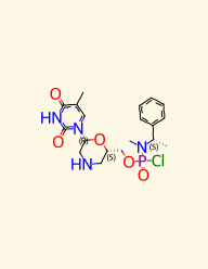 Cc1cn([C@H]2CNC[C@@H](COP(=O)(Cl)N(C)[C@@H](C)c3ccccc3)O2)c(=O)[nH]c1=O